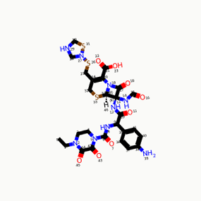 CCN1CCN(C(=O)NC(C(=O)N[C@]2(NC=O)C(=O)N3C(C(=O)O)=C(CSN4CNCS4)CS[C@@H]32)c2ccc(N)cc2)C(=O)C1=O